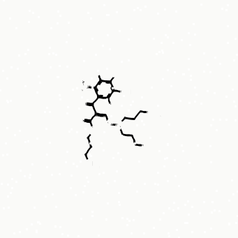 CCCCOC(=O)C(=CNN(CCCC)CCCC)C(=O)c1c(F)c(C)c(F)c(F)c1[N+](=O)[O-]